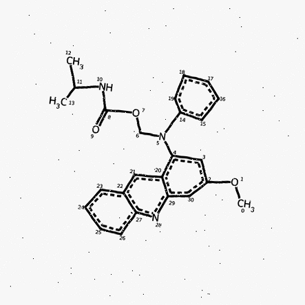 COc1cc(N(COC(=O)NC(C)C)c2ccccc2)c2cc3ccccc3nc2c1